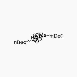 CCCCCCCCCCCCCCCCCCOC(=O)CC(CC(=O)OCCCCCCCCCCCCCCCCCC)NC(=O)OC